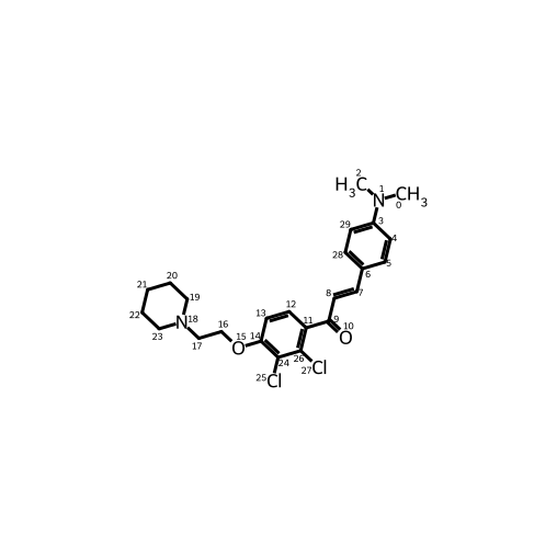 CN(C)c1ccc(C=CC(=O)c2ccc(OCCN3CCCCC3)c(Cl)c2Cl)cc1